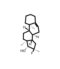 C[C@]12CC[C@H]3[C@@H](CC=C4CCCC[C@@]43C)[C@@H]1C[C@@](C)(F)[C@@H]2O